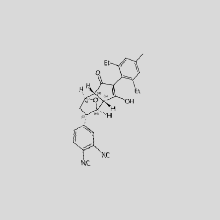 [C-]#[N+]c1ccc([C@@H]2C[C@@H]3O[C@H]2[C@H]2C(O)=C(c4c(CC)cc(C)cc4CC)C(=O)[C@H]23)cc1[N+]#[C-]